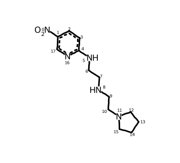 O=[N+]([O-])c1ccc(NCCNCCN2CCCC2)nc1